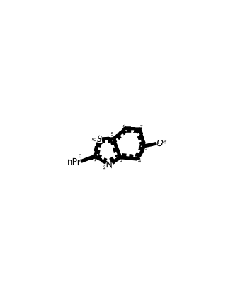 CCCc1nc2cc([O])ccc2s1